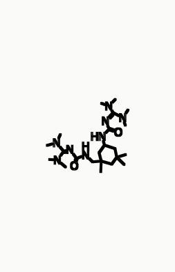 CN(C)C(=NC(=O)NCC1(C)CC(NC(=O)N=C(N(C)C)N(C)C)CC(C)(C)C1)N(C)C